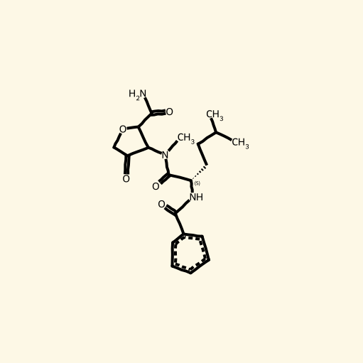 CC(C)CC[C@H](NC(=O)c1ccccc1)C(=O)N(C)C1C(=O)COC1C(N)=O